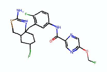 NC1=NC2(c3cc(NC(=O)c4cnc(OCF)cn4)ccc3F)CCC(F)CC2CS1